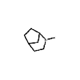 IN1CCC2CCC1C2